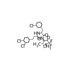 CC(C)[C@H](NC(=O)C(Cc1cccc(Cl)c1)NC(=O)CCc1ccc(Cl)c(Cl)c1)C(=O)C(F)(F)F